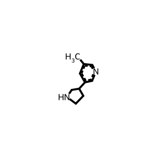 Cc1cncc(C2CCNC2)c1